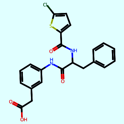 O=C(O)Cc1cccc(NC(=O)C(Cc2ccccc2)NC(=O)c2ccc(Cl)s2)c1